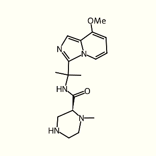 COc1cccn2c(C(C)(C)NC(=O)[C@@H]3CNCCN3C)ncc12